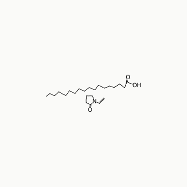 C=CN1CCCC1=O.CCCCCCCCCCCCCCCCCC(=O)O